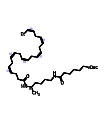 CC/C=C\C/C=C\C/C=C\C/C=C\C/C=C\C/C=C\CCC(=O)N[C@H](C)CCCCNC(=O)CCCCCCCCCCCCCCC